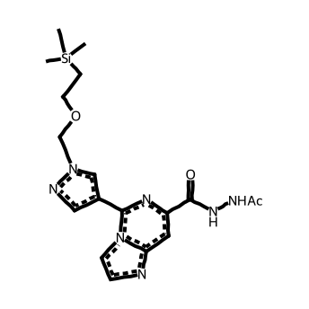 CC(=O)NNC(=O)c1cc2nccn2c(-c2cnn(COCC[Si](C)(C)C)c2)n1